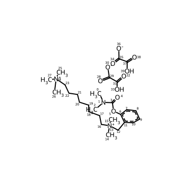 CN(C)C(=O)Oc1ccccc1C[N+](C)(C)CCCCCCCC[N+](C)(C)C.O=C([O-])C(=O)O.O=C([O-])C(=O)O